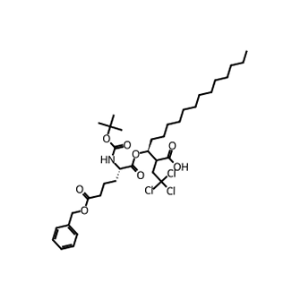 CCCCCCCCCCCCC[C@H](OC(=O)[C@H](CCCC(=O)OCc1ccccc1)NC(=O)OC(C)(C)C)C(CC(Cl)(Cl)Cl)C(=O)O